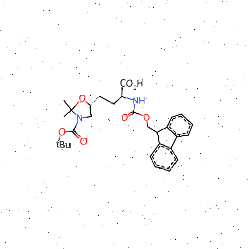 CC(C)(C)OC(=O)N1C[C@@H](CC[C@H](NC(=O)OCC2c3ccccc3-c3ccccc32)C(=O)O)OC1(C)C